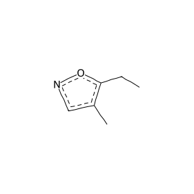 CCc1oncc1C